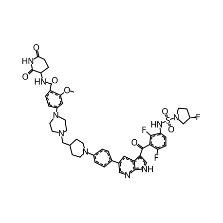 COc1cc(N2CCN(CC3CCN(c4ccc(-c5cnc6[nH]cc(C(=O)c7c(F)ccc(NS(=O)(=O)N8CC[C@@H](F)C8)c7F)c6c5)cc4)CC3)CC2)ccc1C(=O)NC1CCC(=O)NC1=O